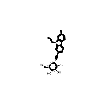 Cc1ccc2c3ccc(C#C[C@H]4O[C@H](CO)[C@@H](O)[C@H](O)[C@@H]4O)cc3n(CCO)c2c1